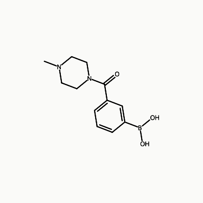 CN1CCN(C(=O)c2cccc(B(O)O)c2)CC1